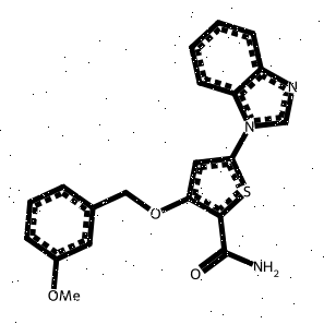 COc1cccc(COc2cc(-n3cnc4ccccc43)sc2C(N)=O)c1